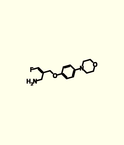 NC/C(=C\F)COc1ccc(N2CCOCC2)cc1